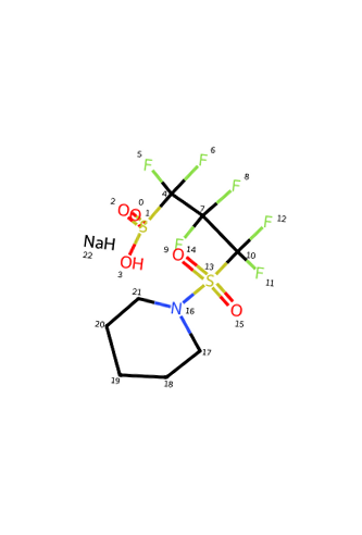 O=S(=O)(O)C(F)(F)C(F)(F)C(F)(F)S(=O)(=O)N1CCCCC1.[NaH]